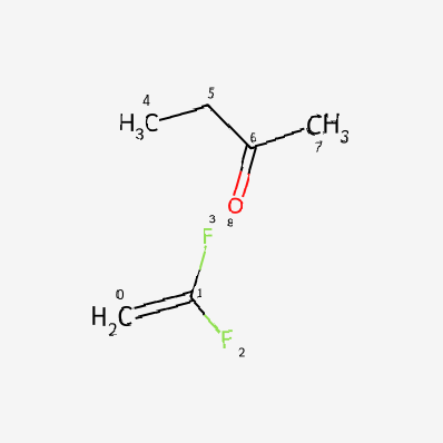 C=C(F)F.CCC(C)=O